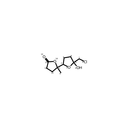 CC1(C2CCC(O)(CCl)O2)CCC(=O)O1